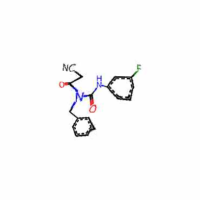 N#CCC(=O)N(Cc1ccccc1)C(=O)Nc1cccc(F)c1